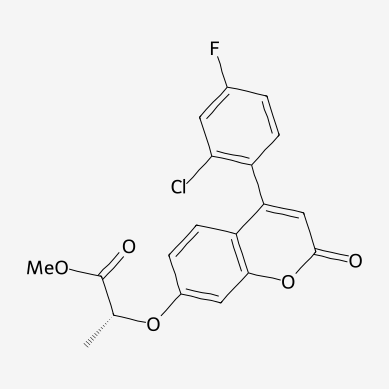 COC(=O)[C@@H](C)Oc1ccc2c(-c3ccc(F)cc3Cl)cc(=O)oc2c1